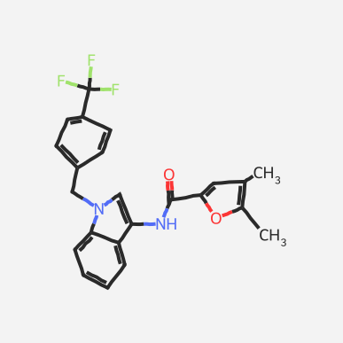 Cc1cc(C(=O)Nc2cn(Cc3ccc(C(F)(F)F)cc3)c3ccccc23)oc1C